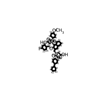 COc1ccc(S(=O)(=O)N(CC(=O)O)c2c(OCc3ccc(F)cc3)c(CN(CC(=O)O)S(=O)(=O)c3ccc(-c4ccccc4)cc3)cc3ccccc23)cc1